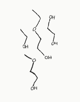 CCO.CCOCCO.COCCO.OCCO